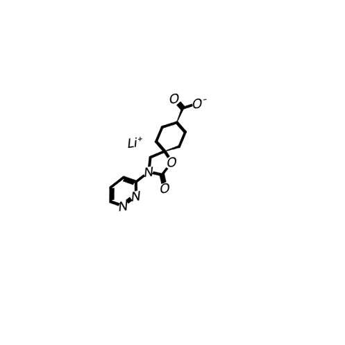 O=C1O[C@]2(CC[C@H](C(=O)[O-])CC2)CN1c1cccnn1.[Li+]